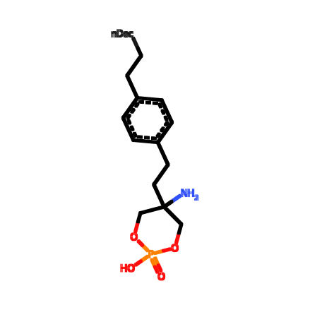 CCCCCCCCCCCCc1ccc(CCC2(N)COP(=O)(O)OC2)cc1